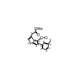 COC(=O)Cc1csc2cc(-c3cccc(C)c3)c(C=O)n12